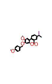 COc1ccc(COc2cc3oc(=O)c4cc(C(C)I)ccc4c3cc2OC)cc1